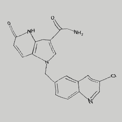 NC(=O)c1cn(Cc2ccc3ncc(Cl)cc3c2)c2ccc(=O)[nH]c12